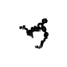 CCCCOCCOc1ccc(-c2ccc3c(c2)/C=C(/c2nc4ccc([S@@+]([O-])Cc5c(C)ncn5CCC)cc4[nH]2)CCCN3CC2CCOCC2)cn1